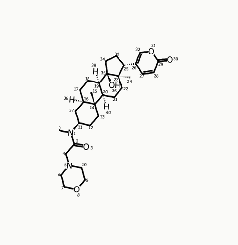 CN(C(=O)CN1CCOCC1)[C@@H]1CC[C@]2(C)[C@H](CC[C@@H]3[C@H]2CC[C@]2(C)[C@@H](c4ccc(=O)oc4)CC[C@@]32O)C1